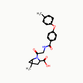 Cc1ccc(Oc2ccc(C(=O)NCC(=O)N3C(C(=O)O)CC4(C)CC34)cc2)cc1